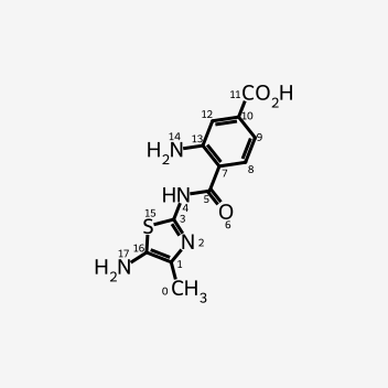 Cc1nc(NC(=O)c2ccc(C(=O)O)cc2N)sc1N